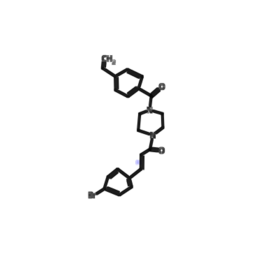 C=Cc1ccc(C(=O)N2CCN(C(=O)/C=C/c3ccc(Br)cc3)CC2)cc1